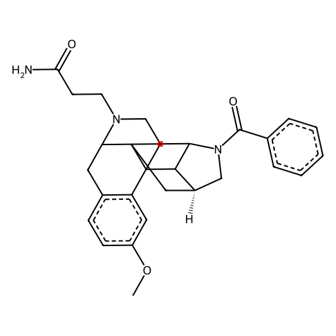 COc1ccc2c(c1)C13CCN(CCC(N)=O)C(C2)C12CCC1C3[C@@H](CN1C(=O)c1ccccc1)C2